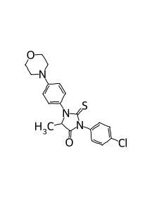 CC1C(=O)N(c2ccc(Cl)cc2)C(=S)N1c1ccc(N2CCOCC2)cc1